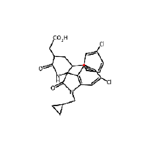 O=C(O)CC1CC(c2cccc(Cl)c2)C2(NC1=O)C(=O)N(CC1CC1)c1cc(Cl)ccc12